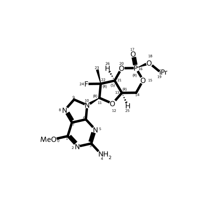 COC1=NC(N)=NC2C1=NCN2[C@@H]1O[C@@H]2CO[P@](=O)(OC(C)C)O[C@@H]2[C@@]1(C)F